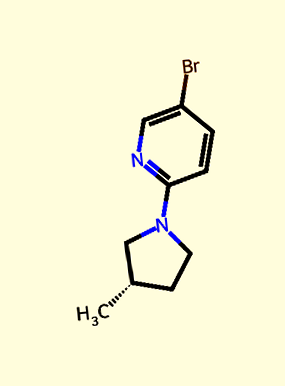 C[C@H]1CCN(c2ccc(Br)cn2)C1